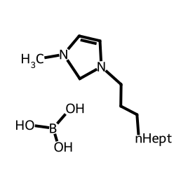 CCCCCCCCCCN1C=CN(C)C1.OB(O)O